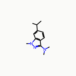 CC(C)c1ccc2c(N(C)C)nn(C)c2c1